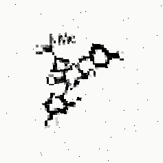 CNC(=O)[C@H]1C[C@]2(C1)C(=O)N(c1ncc(Cl)cc1F)CC(=O)N2Cc1ccc(Cl)cc1